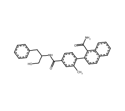 Cc1cc(C(=O)NC(CO)Cc2ccccc2)ccc1-c1ccc2ccccc2c1C(N)=O